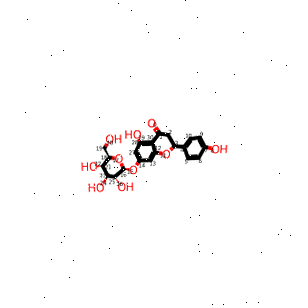 O=C1CC(c2ccc(O)cc2)Oc2cc(O[C@@H]3O[C@H](CO)[C@@H](O)[C@H](O)[C@H]3O)cc(O)c21